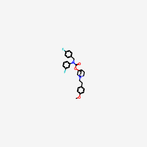 COc1ccc(CC[N+]23CCC(CC2)C(OC(=O)N(Cc2ccc(F)cc2)c2cccc(F)c2)C3)cc1